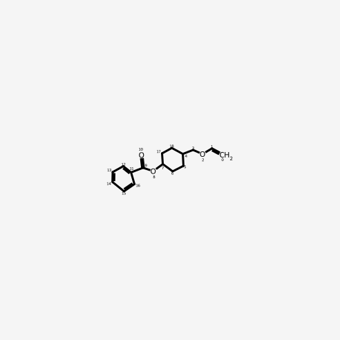 C=COCC1CCC(OC(=O)c2ccccc2)CC1